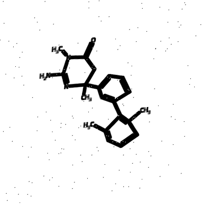 Cc1cccc(C)c1-c1cccc(C2(C)CC(=O)N(C)C(N)=N2)c1